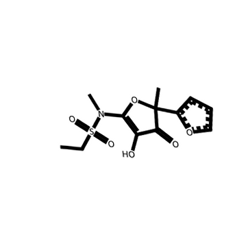 CCS(=O)(=O)N(C)C1=C(O)C(=O)C(C)(c2ccco2)O1